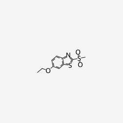 CCOc1ccc2nc(S(C)(=O)=O)sc2c1